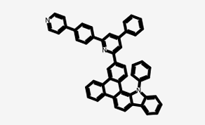 c1ccc(-c2cc(-c3ccc(-c4ccncc4)cc3)nc(-c3ccc4c(c3)c3ccccc3c3ccc5c6ccccc6n(-c6ccccc6)c5c34)c2)cc1